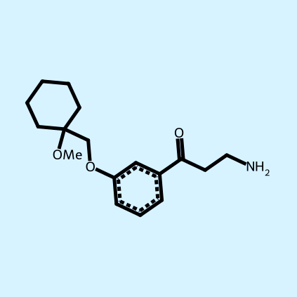 COC1(COc2cccc(C(=O)CCN)c2)CCCCC1